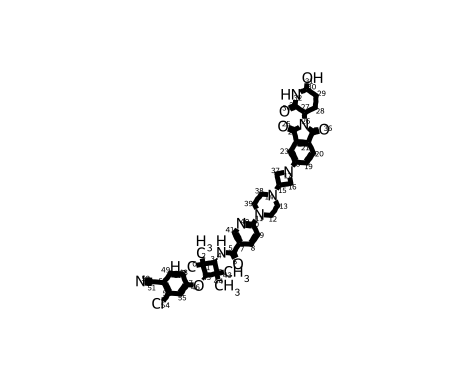 CC1(C)[C@H](NC(=O)c2ccc(N3CCN(C4CN(c5ccc6c(c5)C(=O)N(C5CCC(O)NC5=O)C6=O)C4)CC3)nc2)C(C)(C)[C@H]1Oc1ccc(C#N)c(Cl)c1